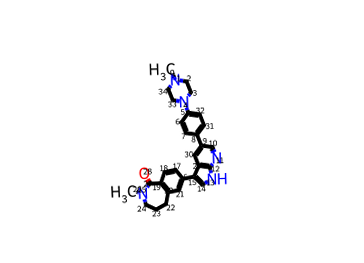 CN1CCN(c2ccc(-c3cnc4[nH]cc(-c5ccc6c(c5)CCCN(C)C6=O)c4c3)cc2)CC1